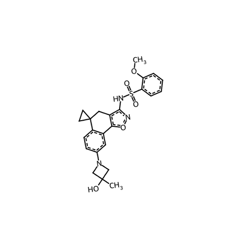 COc1ccccc1S(=O)(=O)Nc1noc2c1CC1(CC1)c1ccc(N3CC(C)(O)C3)cc1-2